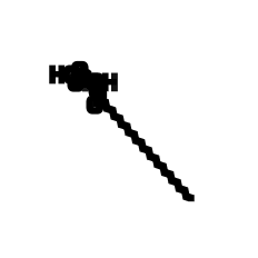 CCCCCCCCCCCCCCCCCCCCCCCCCC(=O)OCC(O)COP(=O)(O)O